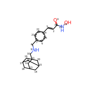 O=C(C=Cc1ccc(CNCC23CC4CC(CC(C4)C2)C3)cc1)NO